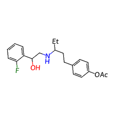 CCC(CCc1ccc(OC(C)=O)cc1)NCC(O)c1ccccc1F